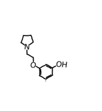 Oc1c[c]cc(OCCN2CCCC2)c1